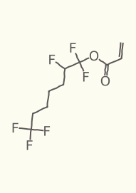 C=CC(=O)OC(F)(F)C(F)CCCCC(F)(F)F